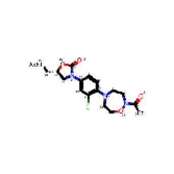 CCC(=O)N1CCN(c2ccc(N3C[C@H](CNC(C)=O)OC3=O)cc2F)CCO1